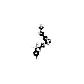 C[C@H](NC(=O)C1CN(c2ncnn3cc(-c4cnn(C5COC5)c4)cc23)C1)c1ccc(F)cc1